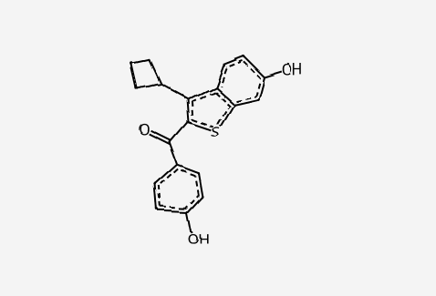 O=C(c1ccc(O)cc1)c1sc2cc(O)ccc2c1C1CCC1